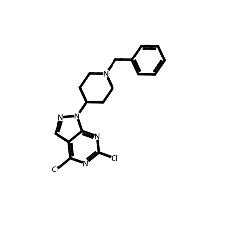 Clc1nc(Cl)c2cnn(C3CCN(Cc4ccccc4)CC3)c2n1